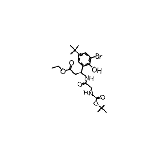 CCOC(=O)C[C@H](NC(=O)CNC(=O)OC(C)(C)C)c1cc(C(C)(C)C)cc(Br)c1O